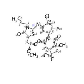 C=CCN1C(=O)C(CC(=O)OC)S/C1=N\c1cc(-n2c(=O)cc(C(F)(F)F)n(C)c2=O)c(F)cc1Cl